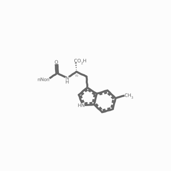 CCCCCCCCCC(=O)N[C@@H](Cc1c[nH]c2ccc(C)cc12)C(=O)O